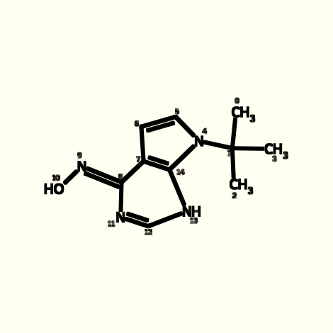 CC(C)(C)n1ccc2/c(=N/O)nc[nH]c21